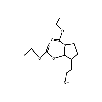 CCOC(=O)OC1C(CCO)CCN1C(=O)OCC